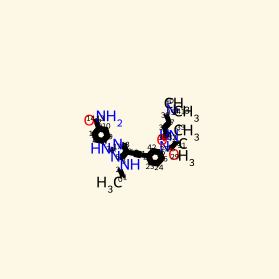 CCCNc1nc(Nc2ccc(C(N)=O)cc2)ncc1C#Cc1cccc(NC(=O)[C@H](C)N(C)C(=O)/C=C/CN(C)C)c1